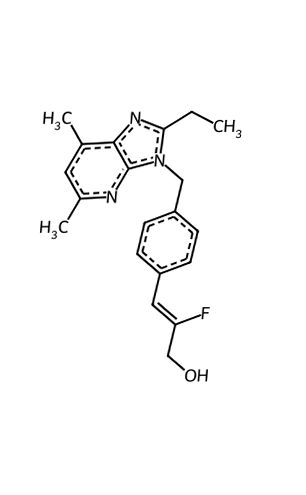 CCc1nc2c(C)cc(C)nc2n1Cc1ccc(/C=C(\F)CO)cc1